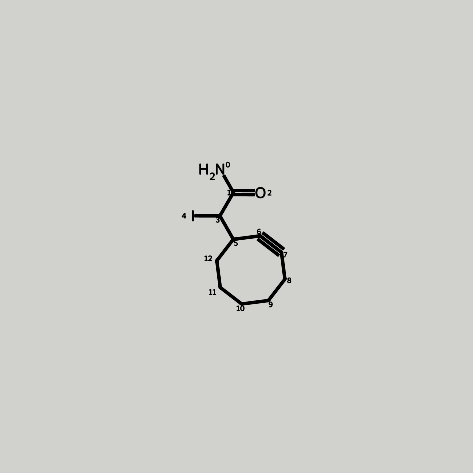 NC(=O)C(I)C1C#CCCCCC1